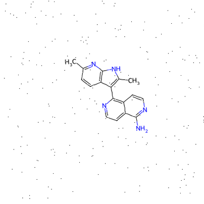 Cc1ccc2c(-c3nccc4c(N)nccc34)c(C)[nH]c2n1